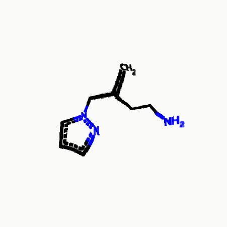 C=C(CCN)Cn1cccn1